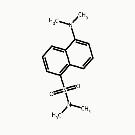 CN(C)c1cccc2c(S(=O)(=O)N(C)C)cccc12